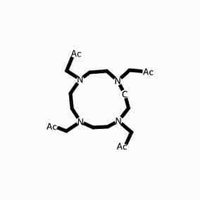 CC(=O)CN1CCN(CC(C)=O)CCN(CC(C)=O)CCN(CC(C)=O)CC1